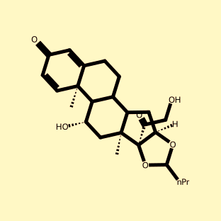 CCCC1O[C@@H]2CC3C4CCC5=CC(=O)C=C[C@]5(C)C4[C@@H](O)C[C@]3(C)[C@]2(C(=O)CO)O1